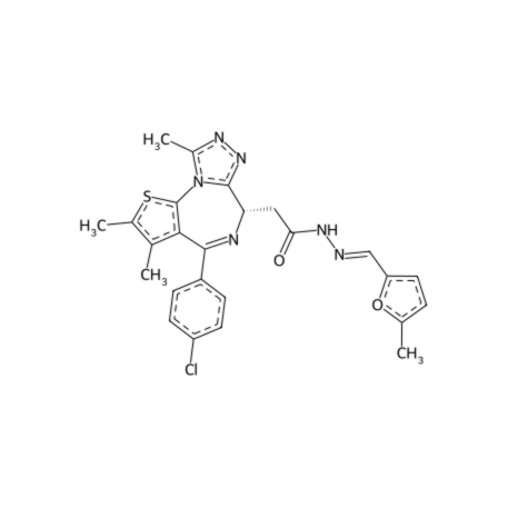 Cc1ccc(/C=N/NC(=O)C[C@@H]2N=C(c3ccc(Cl)cc3)c3c(sc(C)c3C)-n3c(C)nnc32)o1